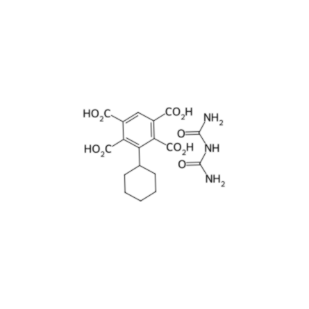 NC(=O)NC(N)=O.O=C(O)c1cc(C(=O)O)c(C(=O)O)c(C2CCCCC2)c1C(=O)O